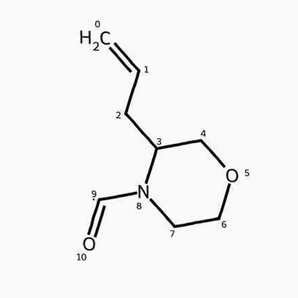 C=CCC1COCCN1[C]=O